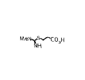 CNC(=N)SCCC(=O)O